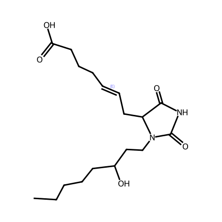 CCCCCC(O)CCN1C(=O)NC(=O)C1C/C=C/CCCC(=O)O